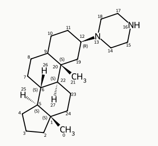 C[C@@]12CCC[C@H]1[C@@H]1CCC3CC[C@@H](N4CCNCC4)C[C@]3(C)[C@H]1CC2